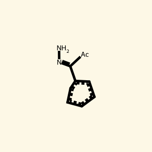 CC(=O)C(=NN)c1ccccc1